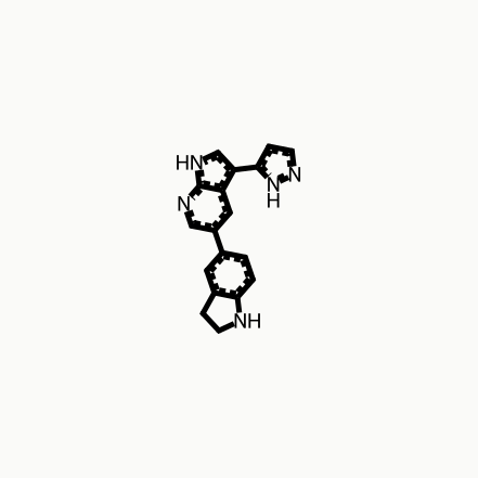 c1cc(-c2c[nH]c3ncc(-c4ccc5c(c4)CCN5)cc23)[nH]n1